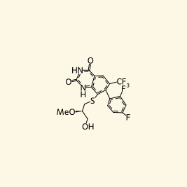 CO[C@H](CO)CSc1c(-c2ccc(F)cc2F)c(C(F)(F)F)cc2c(=O)[nH]c(=O)[nH]c12